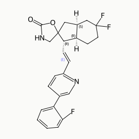 O=C1NCC2(C[C@H]3CC(F)(F)CC[C@H]3[C@@H]2/C=C/c2ccc(-c3ccccc3F)cn2)O1